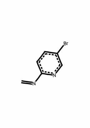 C=Nc1ccc(Br)cn1